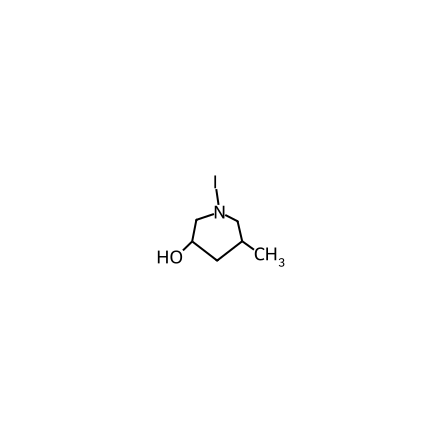 CC1CC(O)CN(I)C1